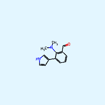 CN(C)c1c(C=O)cccc1-c1cc[nH]c1